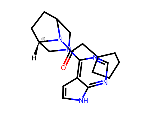 O=C(CC1CCCC1)N1C2CC[C@H]1CN(c1ncnc3[nH]ccc13)C2